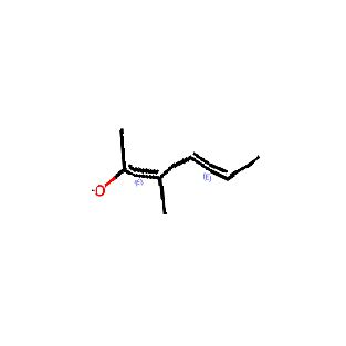 C/C=C/C(C)=C(\C)[O]